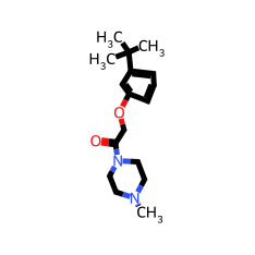 CN1CCN(C(=O)COc2cccc(C(C)(C)C)c2)CC1